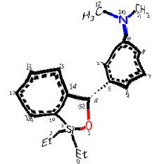 CC[Si]1(CC)O[C@@H](c2cccc(N(C)C)c2)c2ccccc21